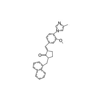 COc1cc(/C=C2\CCC(Cc3cccc4ccccc34)C2=O)ccc1-n1cnc(C)c1